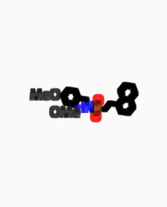 COc1ccc(CNS(=O)(=O)CCc2cccc3ccccc23)c(OC)c1